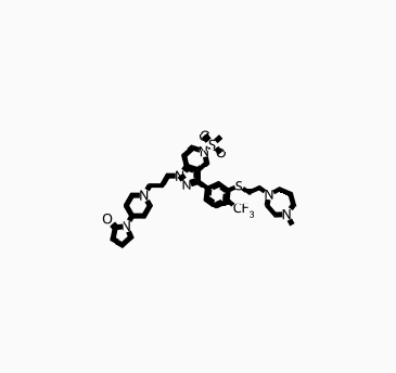 CN1CCCN(CCSc2cc(-c3nn(CCCN4CCC(N5CCCC5=O)CC4)c4c3CN(S(C)(=O)=O)CC4)ccc2C(F)(F)F)CC1